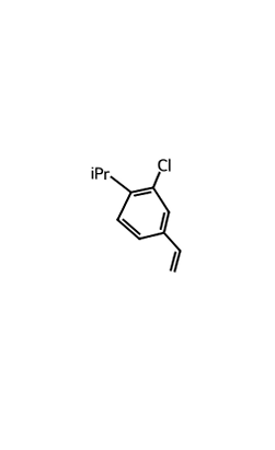 C=Cc1ccc(C(C)C)c(Cl)c1